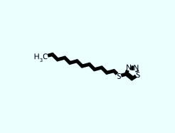 CCCCCCCCCCCCSc1csnn1